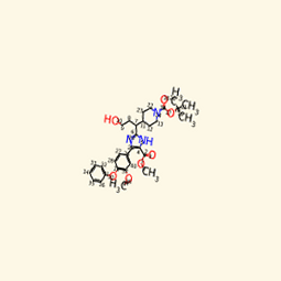 COC(=O)c1[nH]c(C(CCO)C2CCN(C(=O)OC(C)(C)C)CC2)nc1-c1ccc(Oc2ccccc2)c(OC)c1